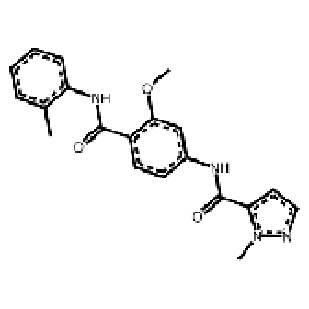 COc1cc(NC(=O)c2ccnn2C)ccc1C(=O)Nc1ccccc1C